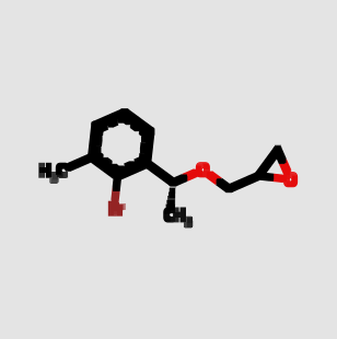 Cc1cccc([C@@H](C)OCC2CO2)c1Br